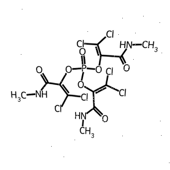 CNC(=O)C(OP(=O)(OC(C(=O)NC)=C(Cl)Cl)OC(C(=O)NC)=C(Cl)Cl)=C(Cl)Cl